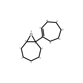 C1=C(C23CCCCCC2O3)CCCCC1